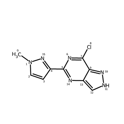 Cn1ccc(-c2nc(Cl)c3n[nH]cc3n2)n1